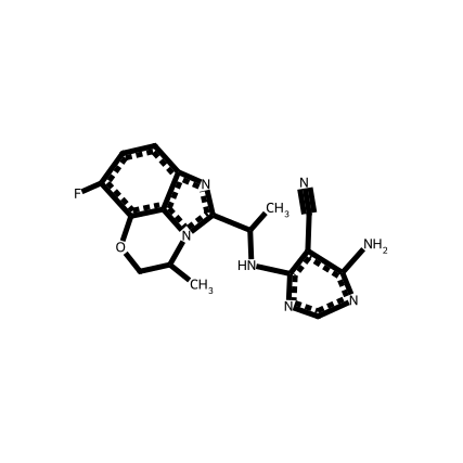 CC(Nc1ncnc(N)c1C#N)c1nc2ccc(F)c3c2n1C(C)CO3